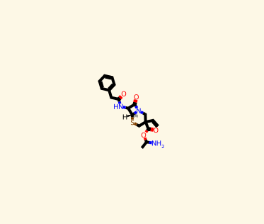 C=CC1(C(=O)OC(C)N)CS[C@@H]2C(NC(=O)Cc3ccccc3)C(=O)N2C1